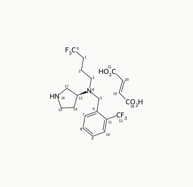 FC(F)(F)CCCN(Cc1ccccc1C(F)(F)F)[C@H]1CCNC1.O=C(O)C=CC(=O)O